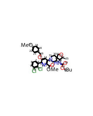 COC(=O)c1nc(-c2cccc(Cl)c2Cl)c(OCc2ccc(OC)cc2)cc1N1CCC2(CC1)CO[C@@H](C)[C@H]2NC(=O)OC(C)(C)C